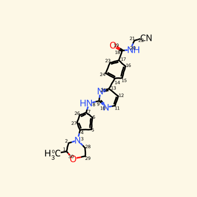 CC1CN(c2ccc(Nc3nccc(-c4ccc(C(=O)NCC#N)cc4)n3)cc2)CCO1